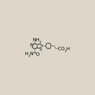 NC(=O)c1cnc(N)c2cc(-c3ccc(CCC(=O)O)cc3)sc12